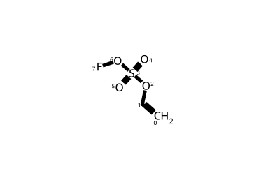 C=COS(=O)(=O)OF